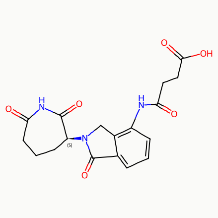 O=C(O)CCC(=O)Nc1cccc2c1CN([C@H]1CCCC(=O)NC1=O)C2=O